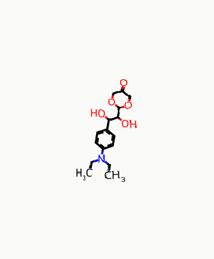 CCN(CC)c1ccc(C(O)C(O)C2OCC(=O)CO2)cc1